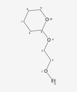 [CH2]COCCOC1CCCCO1